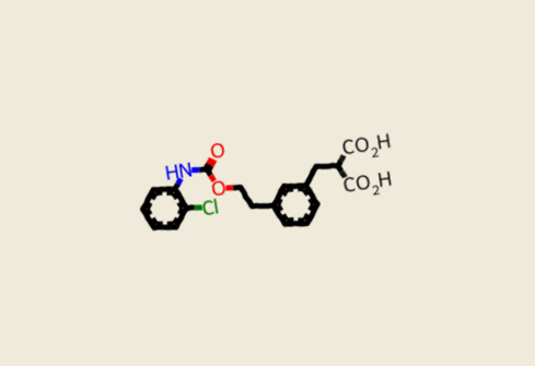 O=C(Nc1ccccc1Cl)OCCc1cccc(CC(C(=O)O)C(=O)O)c1